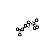 c1ccc(-c2nc(-c3cccc4c3COc3cc(-c5ccc6c(c5)c5ccccc5n6-c5ccccc5)ccc3-4)nc(-c3cccc4ccccc34)n2)cc1